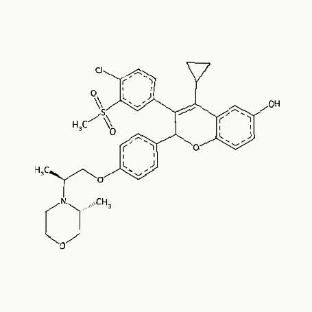 C[C@@H]1COCCN1[C@@H](C)COc1ccc(C2Oc3ccc(O)cc3C(C3CC3)=C2c2ccc(Cl)c(S(C)(=O)=O)c2)cc1